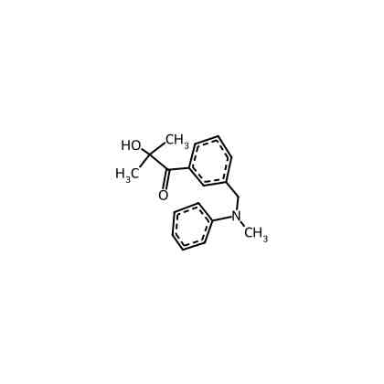 CN(Cc1cccc(C(=O)C(C)(C)O)c1)c1ccccc1